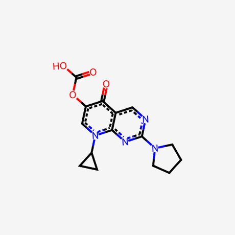 O=C(O)Oc1cn(C2CC2)c2nc(N3CCCC3)ncc2c1=O